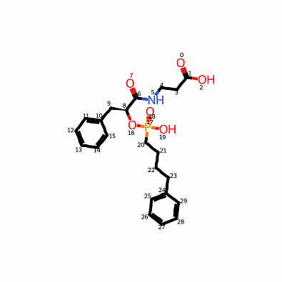 O=C(O)CCNC(=O)[C@H](Cc1ccccc1)OP(=O)(O)CCCCc1ccccc1